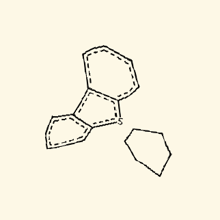 C1CCCCC1.c1ccc2c(c1)sc1ccccc12